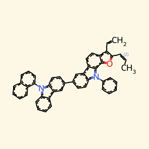 C=Cc1c(/C=C\C)oc2c1ccc1c3cc(-c4ccc5c(c4)c4ccccc4n5-c4cccc5ccccc45)ccc3n(-c3ccccc3)c12